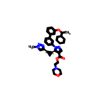 CC(Oc1cccc(-c2cccc(-n3ncc(C(=O)OCCN4CCOCC4)c3[C@@H]3C[C@H]3c3cn(C)nn3)c2)c1)C1CCCCC1